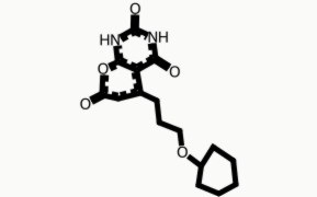 O=c1[nH]c(=O)c2c(CCCOC3CCCCC3)cc(=O)oc2[nH]1